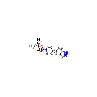 CC(C)(C)OC(=O)N1CCC(c2ccc3[nH]ncc3c2)CC1